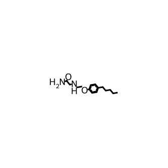 CCCCCc1ccc(OCCNCC(N)=O)cc1